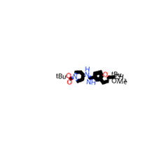 CO[C@@](C)([C@H]1CCc2cc(C(=N)NC3CCN(C(=O)OC(C)(C)C)CC3)ccc2O1)C(C)(C)C